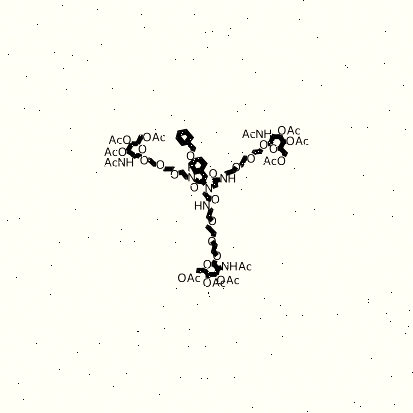 CC(=O)NC1C(OCCOCCOCCNC(=O)CN(CC(=O)NCCOCCOCCOC2OC(COC(C)=O)C(OC(C)=O)C(OC(C)=O)C2NC(C)=O)C(Cc2ccc(OCc3ccccc3)cc2)C(=O)NCCOCCOCCOC2OC(COC(C)=O)C(OC(C)=O)C(OC(C)=O)C2NC(C)=O)OC(COC(C)=O)C(OC(C)=O)C1OC(C)=O